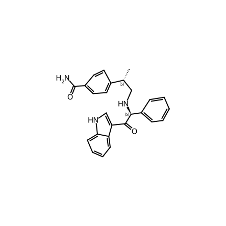 C[C@H](CN[C@H](C(=O)c1c[nH]c2ccccc12)c1ccccc1)c1ccc(C(N)=O)cc1